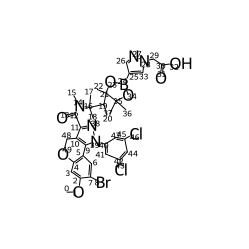 COc1cc2c(cc1Br)-c1c(c(C(=O)N(C)C(C)(C)C(C)C3(C)OB(c4cnn(CC(=O)O)c4)OC3(C)C)nn1-c1cc(Cl)cc(Cl)c1)CO2